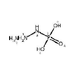 N.NNP(=O)(O)O